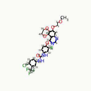 COCCOc1cc2ncnc(Oc3ccc(NC(=O)Nc4ccc(Cl)c(C(F)(F)F)c4)cc3F)c2c2c1OCCO2